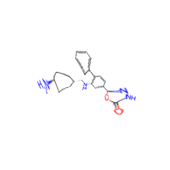 N[C@H]1CC[C@H](CNc2cc(-c3n[nH]c(=O)o3)ccc2-c2ccccc2)CC1